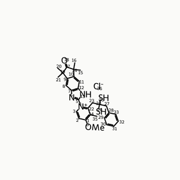 COc1cc[n+](-c2nc3cc4c(cc3[nH]2)C(C)(C)C(=O)C4(C)C)c(CC(S)(S)Cc2ccccc2)c1C.[Cl-]